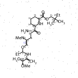 C=C(NC(CC)O/C=C(/C[C@H](N)C(=O)N1CCC[C@@H](C(=O)OCC(C)(C)CC)N1)NC)[C@H](C)OC